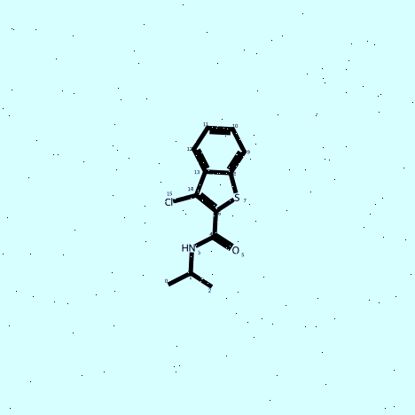 CC(C)NC(=O)c1sc2ccccc2c1Cl